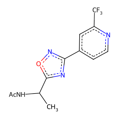 CC(=O)NC(C)c1nc(-c2ccnc(C(F)(F)F)c2)no1